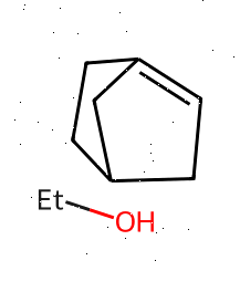 C1=C2CCC(C1)C2.CCO